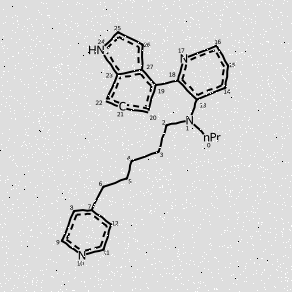 CCCN(CCCCCc1ccncc1)c1cccnc1-c1cccc2[nH]ccc12